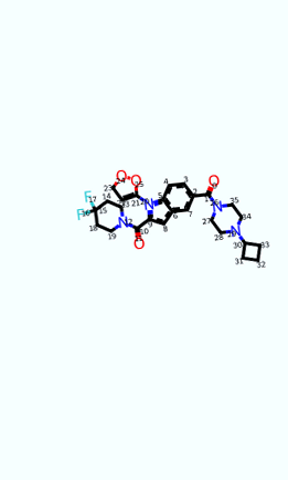 O=C(c1ccc2c(c1)cc(C(=O)N1CCC(F)(F)CC1)n2C1=CCOO1)N1CCN(C2CCC2)CC1